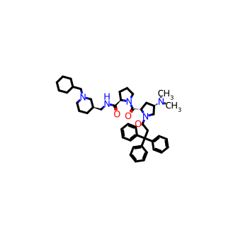 CN(C)[C@H]1C[C@@H](C(=O)N2CCC[C@@H]2C(=O)NC[C@H]2CCCN(CC3CCCCC3)C2)N(C(=O)CC(c2ccccc2)(c2ccccc2)c2ccccc2)C1